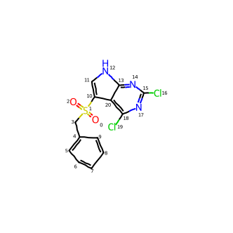 O=S(=O)(Cc1ccccc1)c1c[nH]c2nc(Cl)nc(Cl)c12